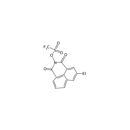 CCc1cc2c3c(cccc3c1)C(=O)N(OS(=O)(=O)C(F)(F)F)C2=O